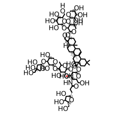 CC1O[C@@H](OC2C(O)[C@@H](NC(=O)CC[C@@H]3O[C@@H](CO)C(O)C3O)C(CO)O[C@H]2OC(=O)[C@]23CCC(C)(C)CC2C2=CCC4C5(C)CC[C@H](O[C@@H]6OC[C@@H](O)[C@H](O[C@@H]7OC[C@@H](O)[C@H](O)C7O)C6O[C@@H]6OC(CO)[C@H](O)[C@H](O)C6O)[C@](C)(C=O)[C@@H]5CC[C@]4(C)[C@]2(C)CC3O)C(O)C(O)[C@H]1O[C@@H]1OC[C@@H](O)C(O[C@@H]2OC[C@@](O)(CO)C2O)C1O